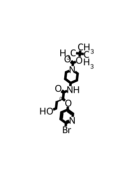 CC(C)(C)OC(=O)N1CCC(NC(=O)[C@H](CCO)Oc2ccc(Br)nc2)CC1